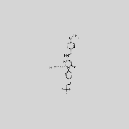 CCCc1nc(NCc2ccc(OC)cc2)cc(=O)n1-c1ccc(OCC(F)(F)F)cc1